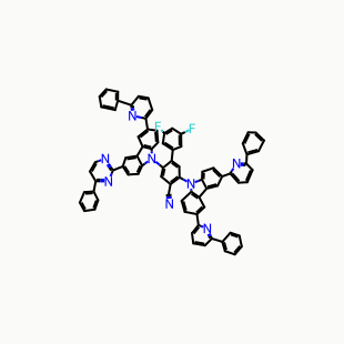 N#Cc1cc(-n2c3ccc(-c4cccc(-c5ccccc5)n4)cc3c3cc(-c4nccc(-c5ccccc5)n4)ccc32)c(-c2cc(F)cc(F)c2)cc1-n1c2ccc(-c3cccc(-c4ccccc4)n3)cc2c2cc(-c3cccc(-c4ccccc4)n3)ccc21